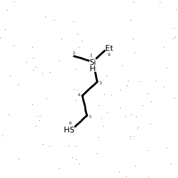 CC[SiH](C)CCCS